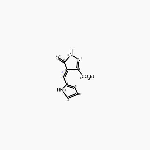 CCOC(=O)C1=NNC(=O)/C1=C/c1ccc[nH]1